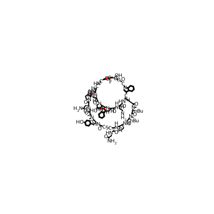 CCCC[C@H]1C(=O)N(C)[C@@H](CCCC)C(=O)N[C@@H](CC(C)C)C(=O)N[C@H](C(=O)NCC(N)=O)CSCC(=O)N[C@@H](Cc2ccc(O)cc2)C(=O)N(C)[C@@H](C)C(=O)N[C@@H](CC(N)=O)C(=O)N2CCC[C@H]2C(=O)N[C@H]2CNCc3ccc(c(F)c3)B(O)OC(=O)Cn3cc(c4ccccc43)C[C@H](NC(=O)[C@H](CCN)NC(=O)[C@H](Cc3c[nH]c4ccccc34)NC(=O)[C@@H]3C[C@@H](O)CN3C(=O)[C@H](CC(C)C)NC2=O)C(=O)N1C